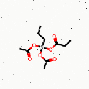 CCC[Si](OC(C)=O)(OC(C)=O)OC(=O)CC